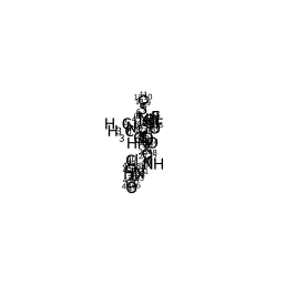 CN(C)CC[C@H](CSc1ccccc1)Nc1ccc(S(=O)(=O)NC(=O)c2ccc(NCCNCC3=C(c4ccc(Cl)cc4)CCOC3)cc2)cc1S(=O)(=O)C(F)F